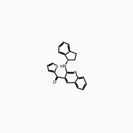 O=C(c1cccs1)c1cc2ccccc2nc1N[C@@H]1CCc2ccccc21